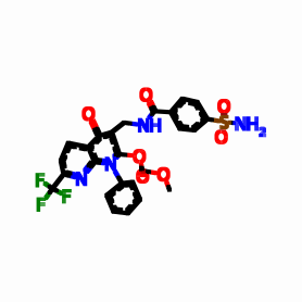 COC(=O)Oc1c(CNC(=O)c2ccc(S(N)(=O)=O)cc2)c(=O)c2ccc(C(F)(F)F)nc2n1-c1ccccc1